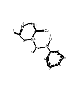 CC1=NNC(=O)N(N(C)[S+]([O-])c2ccccc2)C1